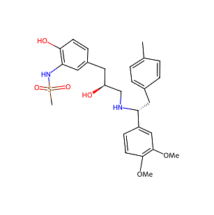 COc1ccc([C@@H](Cc2ccc(C)cc2)NC[C@@H](O)Cc2ccc(O)c(NS(C)(=O)=O)c2)cc1OC